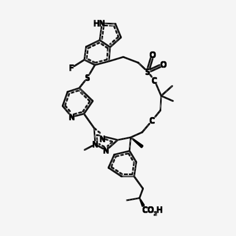 C[C@@H](Cc1cccc([C@@]2(C)CCCC(C)(C)CS(=O)(=O)CCc3c(c(F)cc4[nH]ccc34)Sc3ccnc(c3)-c3nc2nn3C)c1)C(=O)O